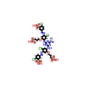 CNc1nc(Nc2cc(Cl)c(N=Nc3ccc(Cl)c(S(=O)(=O)O)c3)cc2OCCCS(=O)(=O)O)nc(Nc2cc(Cl)c(N=Nc3ccc(Cl)c(S(=O)(=O)O)c3)cc2OCCCS(=O)(=O)O)n1